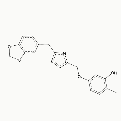 Cc1ccc(OCc2csc(Cc3ccc4c(c3)OCO4)n2)cc1O